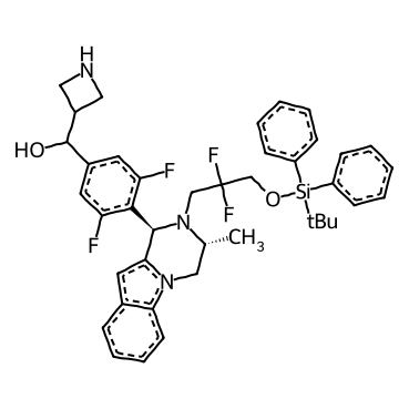 C[C@@H]1Cn2c(cc3ccccc32)[C@@H](c2c(F)cc(C(O)C3CNC3)cc2F)N1CC(F)(F)CO[Si](c1ccccc1)(c1ccccc1)C(C)(C)C